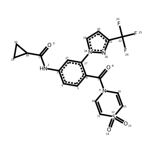 O=C(Nc1ccc(C(=O)N2C=CS(=O)(=O)C=C2)c(-n2ccc(C(F)(F)F)n2)c1)C1CC1